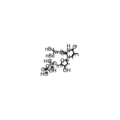 CCCCN(CCCC)CCCC.Cc1cn([C@H]2CC(O)[C@@H](COP(=O)(O)OP(=O)(O)O)O2)c(=O)[nH]c1=O